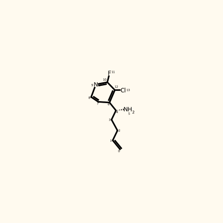 C=CCC[C@@H](N)c1ccnc(F)c1Cl